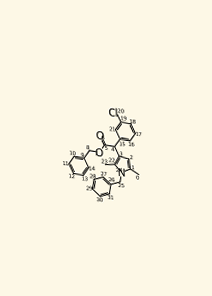 Cc1cc(C(C(=O)OCc2ccccc2)c2cccc(Cl)c2)c(C)n1Cc1ccccc1